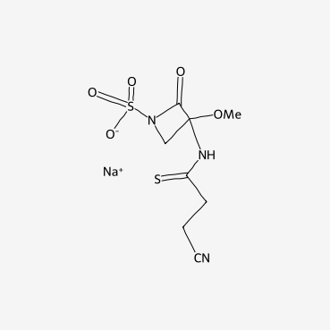 COC1(NC(=S)CCC#N)CN(S(=O)(=O)[O-])C1=O.[Na+]